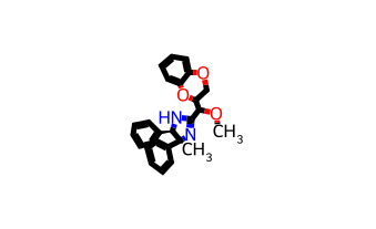 COC(C1=N[C@@](C)(c2ccccc2)[C@@H](c2ccccc2)N1)C1COc2ccccc2O1